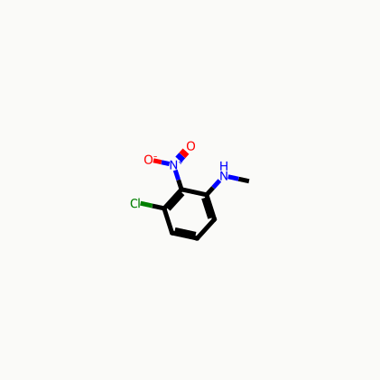 CNc1cccc(Cl)c1[N+](=O)[O-]